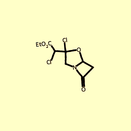 CCOC(=O)C(Cl)C1(Cl)CN2C(=O)CC2O1